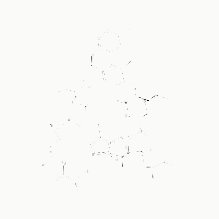 CC(C)[C@H](N)C(=O)N[C@@H](C)C(=O)N[C@H](C(=O)N[C@@H](Cc1c[nH]c2ccccc12)C(=O)N[C@H](C(=O)N[C@@H](Cc1ccc(O)cc1)C(=O)N[C@@H](C)C(=O)N[C@@H](CCC(=O)O)C(=O)N[C@@H](CC(N)=O)C(=O)N[C@H](C(=O)N[C@@H](CS)C(=O)O)[C@@H](C)O)[C@@H](C)O)C(C)C